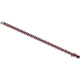 O=C(CCOCCOCCOCCOCCOCCOCCOCCOCCOCCOCCOCCOCCOCCOCCOCCOCCOCCOCCOCCOCCOCCOCCOCCOCCOCCOCCOCCOCCOCCOCCOCCOCCOCCOCCOCCOCCOCCOCCOCCOCCOCCO)NCCSSc1ccccn1